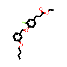 CCCCOc1cccc(COc2ccc(CCC(=O)OCC)cc2F)c1